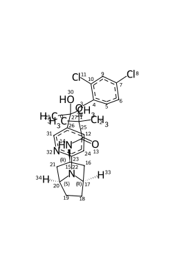 CC(C)(Oc1ccc(Cl)cc1Cl)C(=O)N[C@H]1C[C@H]2CC[C@@H](C1)N2c1ccc(C(C)(C)O)cn1